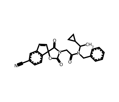 CC(C1CC1)N(Cc1ccccc1)C(=O)CN1C(=O)OC2(C=Cc3cc(C#N)ccc32)C1=O